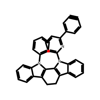 c1ccc(-c2ccnc(-n3c4c(c5ccccc53)CCc3c-4n(-c4ccccc4)c4ccccc34)n2)cc#1